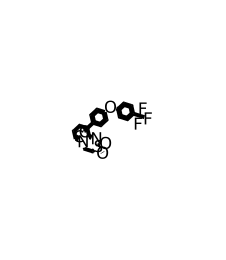 O=S1(=O)CCN2C(=N1)C1(c3ccc(Oc4ccc(C(F)(F)F)cc4)cc3)CCC2CC1